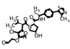 Cc1ncsc1-c1ccc([C@H](C)NC(=O)[C@@H]2C[C@@H](O)CN2C(=O)[C@@H](c2onc(OCC=O)c2Cl)C(C)C)cc1